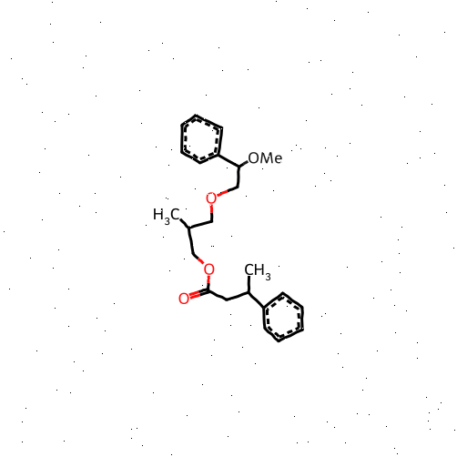 COC(COCC(C)COC(=O)CC(C)c1ccccc1)c1ccccc1